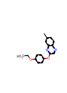 Cc1ccc2ncc(Oc3ccc(OCC(=O)O)cc3)nc2c1